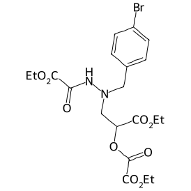 CCOC(=O)C(=O)NN(Cc1ccc(Br)cc1)CC(OC(=O)C(=O)OCC)C(=O)OCC